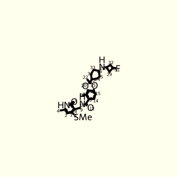 CSc1cc(C)[nH]c(=O)c1CNC(=O)c1ccc2c(c1C)OC(C)(C1CCC(NC3CC(F)C3)CC1)O2